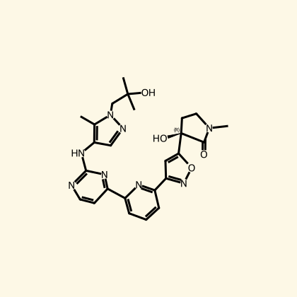 Cc1c(Nc2nccc(-c3cccc(-c4cc([C@]5(O)CCN(C)C5=O)on4)n3)n2)cnn1CC(C)(C)O